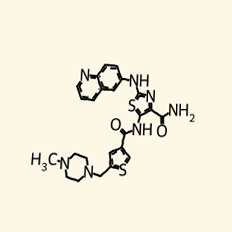 CN1CCN(Cc2cc(C(=O)Nc3sc(Nc4ccc5ncccc5c4)nc3C(N)=O)cs2)CC1